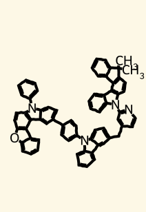 CC1(C)c2ccccc2-c2c1ccc1c2c2ccccc2n1-c1cc(Cc2ccc3c(c2)c2ccccc2n3-c2ccc(-c3ccc4c(c3)c3c5c(ccc3n4-c3ccccc3)oc3ccccc35)cc2)ccn1